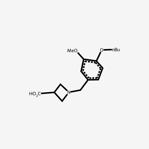 CCCCOc1ccc(CN2CC(C(=O)O)C2)cc1OC